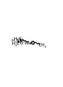 CCCCc1ccc(NCCCCCN(C)[S+]([O-])C(C)C)cc1